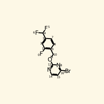 Fc1cc(C(F)F)ccc1COc1nccc(Br)n1